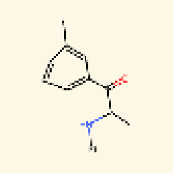 CCNC(C)C(=O)c1cccc(C)c1